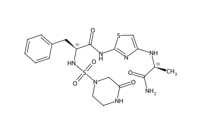 C[C@H](Nc1csc(NC(=O)[C@H](Cc2ccccc2)NS(=O)(=O)N2CCNC(=O)C2)n1)C(N)=O